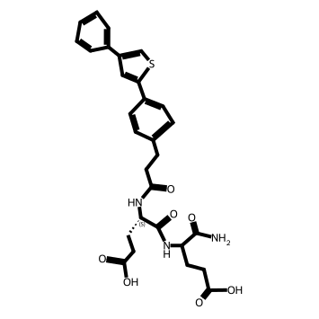 NC(=O)C(CCC(=O)O)NC(=O)[C@H](CCC(=O)O)NC(=O)CCc1ccc(-c2cc(-c3ccccc3)cs2)cc1